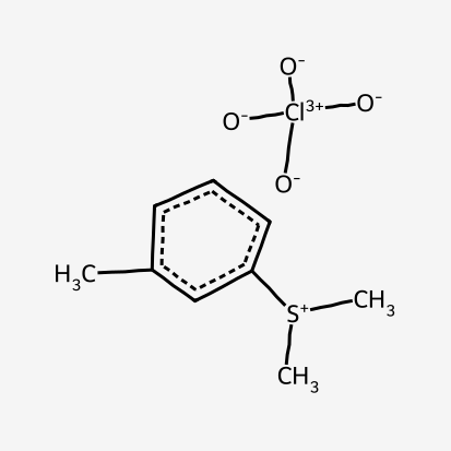 Cc1cccc([S+](C)C)c1.[O-][Cl+3]([O-])([O-])[O-]